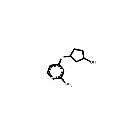 Nc1nccc(OC2CCC(O)C2)n1